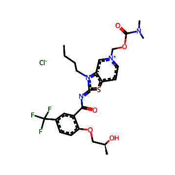 CCCCn1/c(=N/C(=O)c2cc(C(F)(F)F)ccc2OC[C@H](C)O)sc2cc[n+](COC(=O)N(C)C)cc21.[Cl-]